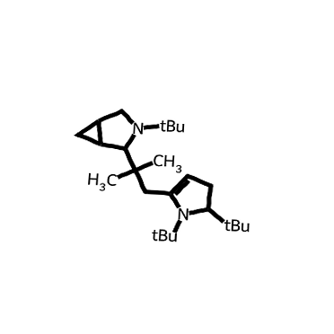 CC(C)(C)C1CC=C(CC(C)(C)C2C3CC3CN2C(C)(C)C)N1C(C)(C)C